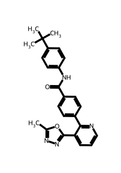 Cc1nnc(-c2cccnc2-c2ccc(C(=O)Nc3ccc(C(C)(C)C)cc3)cc2)o1